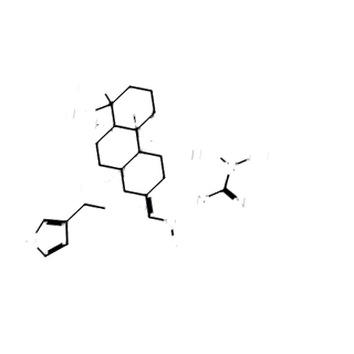 CC1(C)CCC[C@]2(C)[C@H]3CC/C(=C\OS(=O)(=O)O)[C@H](CCc4ccoc4)[C@@]3(C)CC[C@@H]12.CN(C)C(=N)N